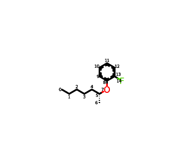 CCCCC[C@@H](C)Oc1ccccc1F